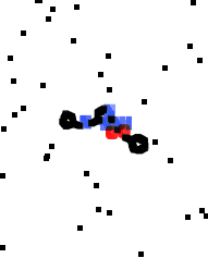 O=C(Nc1nccc(C=NCC2CCCC2)n1)OCc1ccccc1